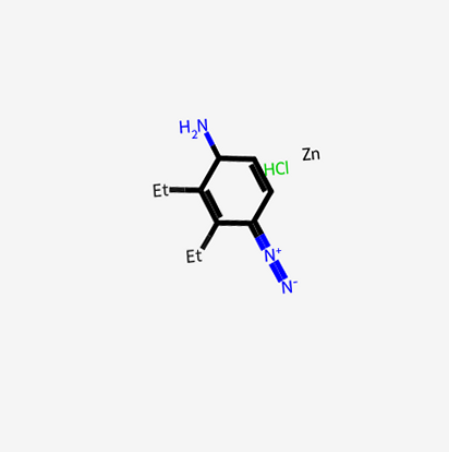 CCC1=C(CC)C(N)C=CC1=[N+]=[N-].Cl.[Zn]